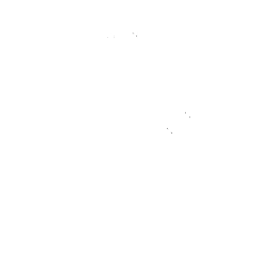 COc1ccc(S(=O)(=O)Oc2n[nH]c3ccc([N+](=O)[O-])cc23)cc1